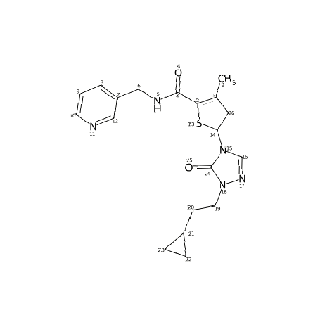 CC1=C(C(=O)NCc2cccnc2)SC(n2cnn(CCC3CC3)c2=O)C1